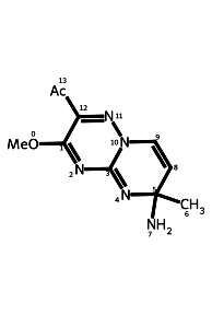 COC1=NC2=NC(C)(N)C=CN2N=C1C(C)=O